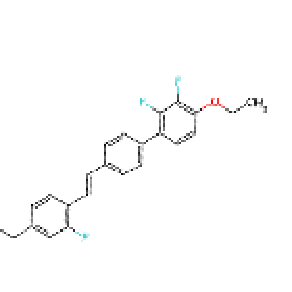 CCOc1ccc(-c2ccc(/C=C/c3ccc(CC)cc3F)cc2)c(F)c1F